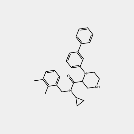 Cc1cccc(CN(C(=O)C2CNCCN2c2cccc(-c3ccccc3)c2)C2CC2)c1C